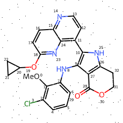 COc1c(Cl)cccc1Nc1c(-c2ccnc3ccc(OC4CC4)nc23)[nH]c2c1C(=O)OCC2